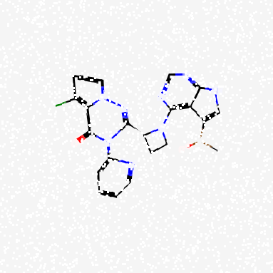 C[S+]([O-])c1c[nH]c2ncnc(N3CC[C@H]3c3nn4ccc(Cl)c4c(=O)n3-c3ccccn3)c12